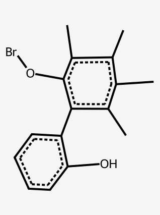 Cc1c(C)c(C)c(-c2ccccc2O)c(OBr)c1C